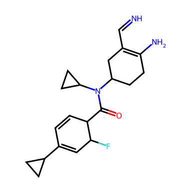 N=CC1=C(N)CCC(N(C(=O)C2C=CC(C3CC3)=CC2F)C2CC2)C1